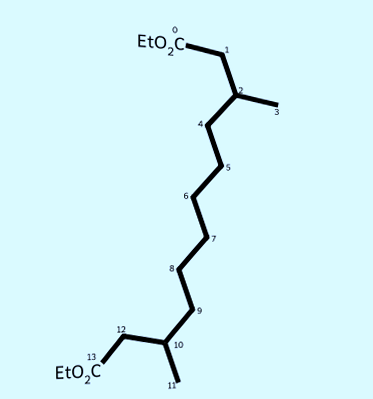 CCOC(=O)CC(C)CCCCCCC(C)CC(=O)OCC